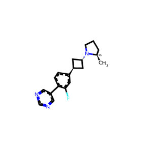 C[C@@H]1CCCN1[C@H]1C[C@H](c2ccc(-c3cncnc3)c(F)c2)C1